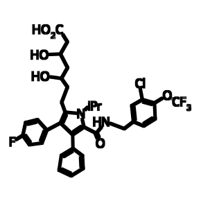 CC(C)n1c(CCC(O)CC(O)CC(=O)O)c(-c2ccc(F)cc2)c(-c2ccccc2)c1C(=O)NCc1ccc(OC(F)(F)F)c(Cl)c1